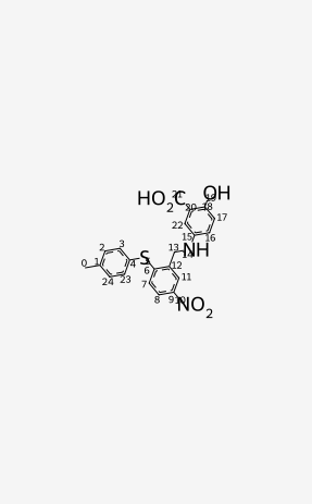 Cc1ccc(Sc2ccc([N+](=O)[O-])cc2CNc2ccc(O)c(C(=O)O)c2)cc1